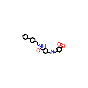 O=C(NCCc1ccc(-c2ccccc2)cc1)c1ccc(C[N]Cc2ccc3c(c2)OCO3)cc1